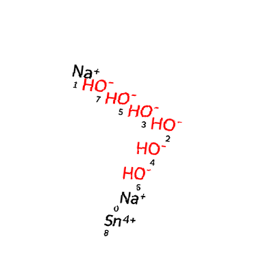 [Na+].[Na+].[OH-].[OH-].[OH-].[OH-].[OH-].[OH-].[Sn+4]